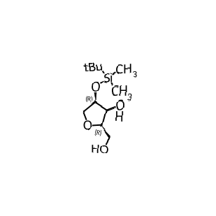 CC(C)(C)[Si](C)(C)O[C@@H]1CO[C@H](CO)C1O